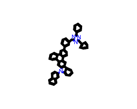 c1ccc(-c2nc(-c3ccccc3)nc(-c3cccc(-c4ccc5c(c4)c4ccccc4c4cc6c(cc54)c4ccccc4n6-c4ccc5ccccc5c4)c3)n2)cc1